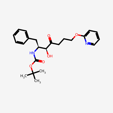 CC(C)(C)OC(=O)N[C@@H](Cc1ccccc1)[C@H](O)C(=O)CCCOc1ccccn1